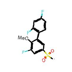 [CH2]S(=O)(=O)c1cc(F)c(OC)c(-c2ccc(F)cc2F)c1